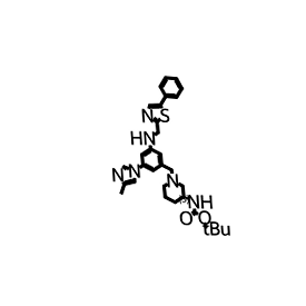 Cc1cn(-c2cc(CN3CCC[C@H](NC(=O)OC(C)(C)C)C3)cc(NCc3ncc(-c4ccccc4)s3)c2)cn1